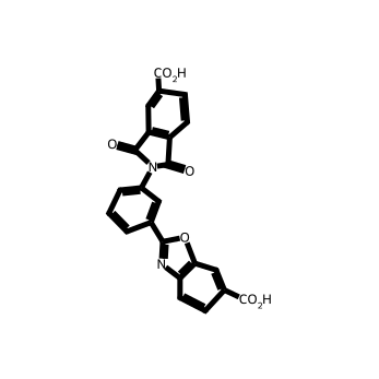 O=C(O)c1ccc2c(c1)C(=O)N(c1cccc(-c3nc4ccc(C(=O)O)cc4o3)c1)C2=O